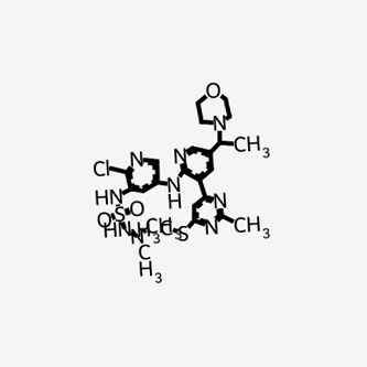 CSc1cc(-c2cc(C(C)N3CCOCC3)cnc2Nc2cnc(Cl)c(NS(=O)(=O)NN(C)C)c2)nc(C)n1